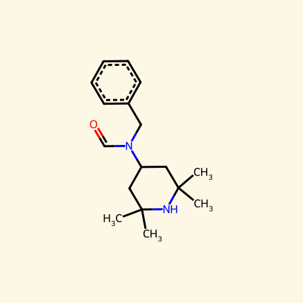 CC1(C)CC(N(C=O)Cc2ccccc2)CC(C)(C)N1